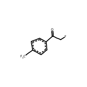 O=C(CF)c1ccc(C(F)(F)F)cc1